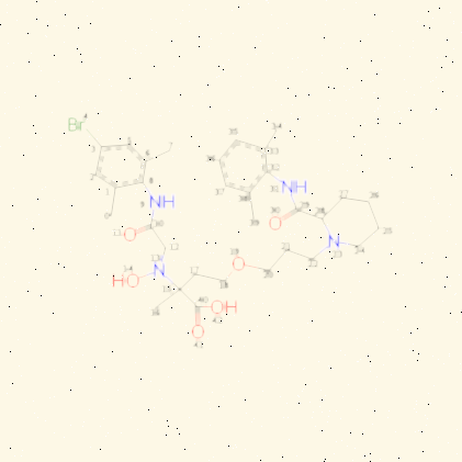 Cc1cc(Br)cc(C)c1NC(=O)CN(O)C(C)(CCOCCCN1CCCCC1C(=O)Nc1c(C)cccc1C)C(=O)O